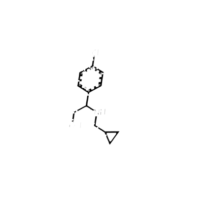 OCC(NCC1CC1)c1ccc(Cl)cc1